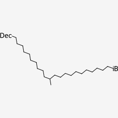 CCCCCCCCCCCCCCCCCCCCC(C)CCCCCCCCCCCC(C)CC